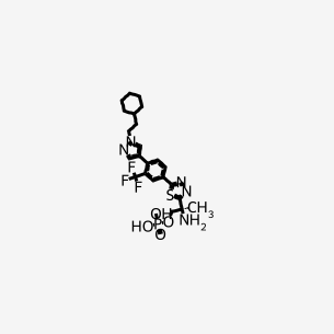 C[C@](N)(COP(=O)(O)O)c1nnc(-c2ccc(-c3cnn(CCC4CCCCC4)c3)c(C(F)(F)F)c2)s1